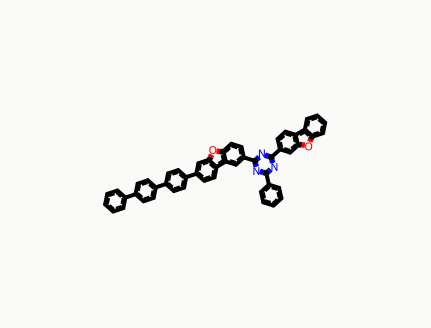 c1ccc(-c2ccc(-c3ccc(-c4ccc5c(c4)oc4ccc(-c6nc(-c7ccccc7)nc(-c7ccc8c(c7)oc7ccccc78)n6)cc45)cc3)cc2)cc1